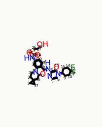 O=C(Nc1nccn(C2CCC(F)(F)CC2)c1=O)c1ccc(NS(=O)(=O)CCO)cc1N1CCC2(CC1)CC2